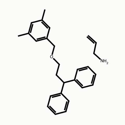 C=CCN.Cc1cc(C)cc(COCCC(c2ccccc2)c2ccccc2)c1